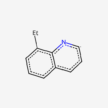 CCc1cccc2cc[c]nc12